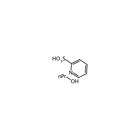 CCCO.O=S(=O)(O)c1ccccn1